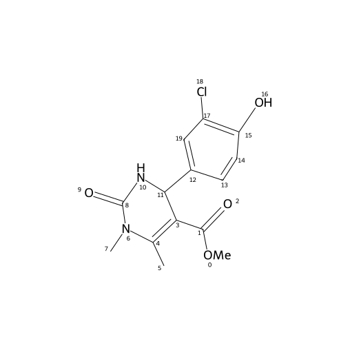 COC(=O)C1=C(C)N(C)C(=O)NC1c1ccc(O)c(Cl)c1